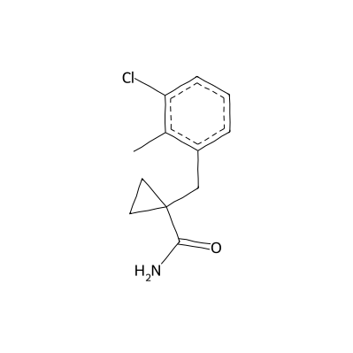 Cc1c(Cl)cccc1CC1(C(N)=O)CC1